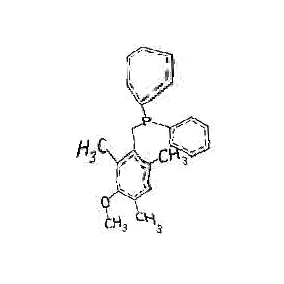 COc1c(C)cc(C)c(CP(c2ccccc2)c2ccccc2)c1C